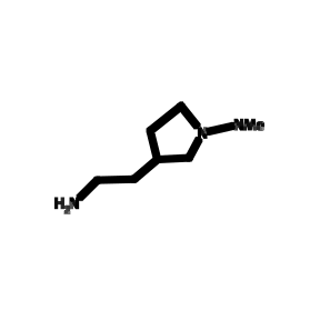 CNN1CCC(CCN)C1